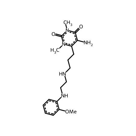 COc1ccccc1NCCNCCCc1c(N)c(=O)n(C)c(=O)n1C